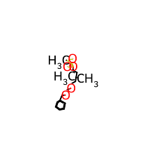 CC(C)(CCOCOCc1ccccc1)CCOS(C)(=O)=O